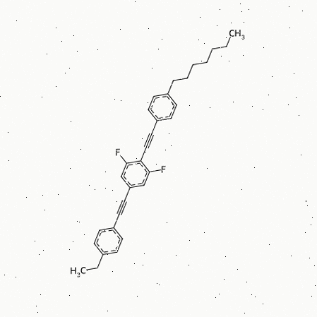 CCCCCCCc1ccc(C#Cc2c(F)cc(C#Cc3ccc(CC)cc3)cc2F)cc1